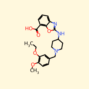 CCOc1cc(CN2CCC(Nc3nc4cccc(C(=O)O)c4o3)CC2)ccc1OC